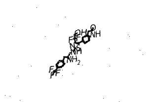 NC(CNc1nc(C(F)(F)CO)c(-c2ccc3c(c2)CC(=O)N3)s1)Cc1ccc(C(F)(F)F)cc1